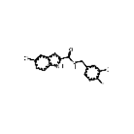 O=C(NCc1ccc(F)c(Cl)c1)c1cc2cc(Cl)ccc2[nH]1